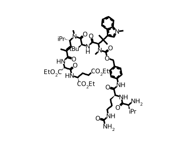 CCOC(=O)CC[C@@H](NC(=O)[C@@H](NC(=O)/C(C)=C/[C@H](C(C)C)N(C)C(=O)[C@@H](NC(=O)C(N(C)C(=O)OCc1ccc(NC(=O)[C@H](CCCNC(N)=O)NC(=O)[C@@H](N)C(C)C)cc1)C(C)(C)c1cn(C)c2ccccc12)C(C)(C)C)C(=O)OCC)C(=O)OCC